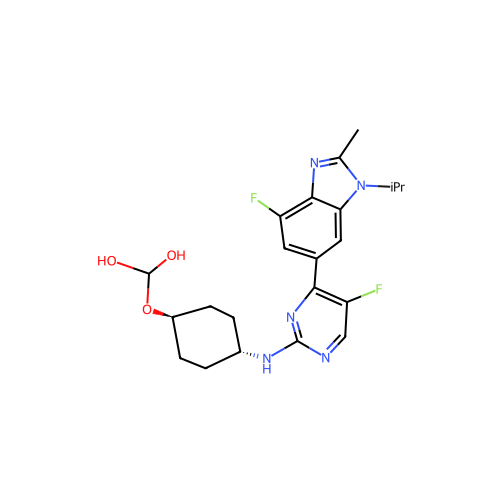 Cc1nc2c(F)cc(-c3nc(N[C@H]4CC[C@H](OC(O)O)CC4)ncc3F)cc2n1C(C)C